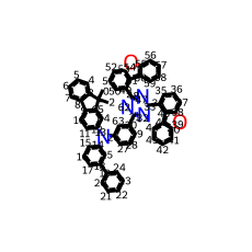 CC1(C)c2ccccc2-c2ccc(N(c3cccc(-c4ccccc4)c3)c3cccc(-c4nc(-c5cccc6oc7ccccc7c56)nc(-c5cccc6oc7ccccc7c56)n4)c3)cc21